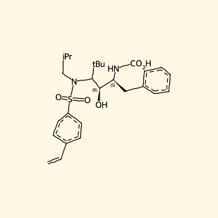 C=Cc1ccc(S(=O)(=O)N(CC(C)C)C([C@H](O)[C@H](Cc2ccccc2)NC(=O)O)C(C)(C)C)cc1